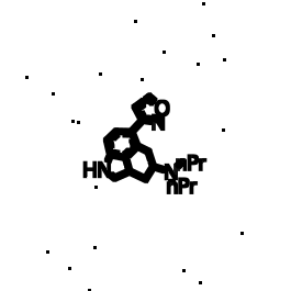 CCCN(CCC)C1Cc2c(-c3ccon3)ccc3c2C(CN3)C1